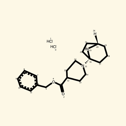 Cl.Cl.O=C(OCc1ccccc1)C1CCN([C@]23CCC[C@@H](CC2)N3)CC1